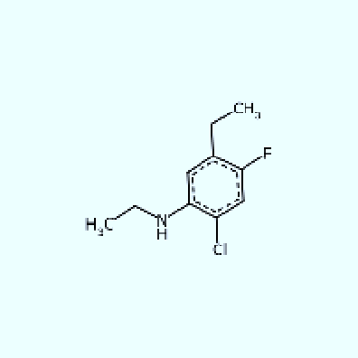 CCNc1cc(CC)c(F)cc1Cl